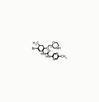 Cc1cnc(NC(=O)NC2=C(OC[C@@H]3CNCCO3)CC(C)C(Br)=C2)cn1